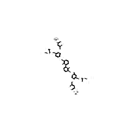 Cc1c(COc2cc(OCc3cncc(N=S(C)(C)=O)c3)c(CN[C@H](CCO)C(=O)O)cc2Cl)cccc1-c1cccc(COc2cc(OCc3cncc(N=S(C)(C)=O)c3)c(CN[C@H](CCO)C(=O)O)cc2Cl)c1C